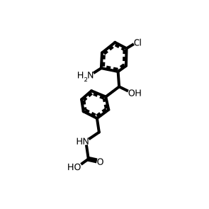 Nc1ccc(Cl)cc1C(O)c1cccc(CNC(=O)O)c1